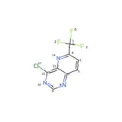 FC(F)(F)c1ccc2ncnc(Cl)c2n1